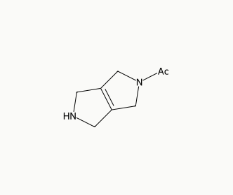 CC(=O)N1CC2=C(CNC2)C1